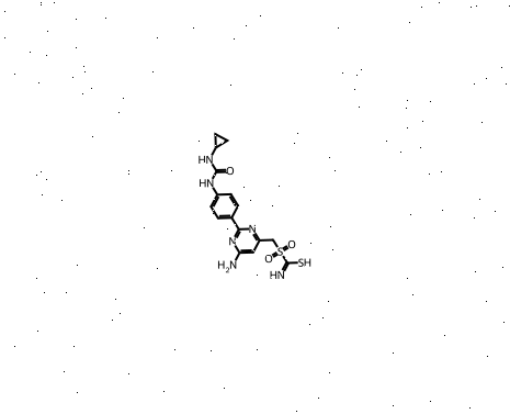 N=C(S)S(=O)(=O)Cc1cc(N)nc(-c2ccc(NC(=O)NC3CC3)cc2)n1